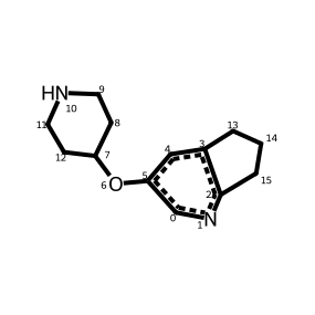 c1nc2c(cc1OC1CCNCC1)CCC2